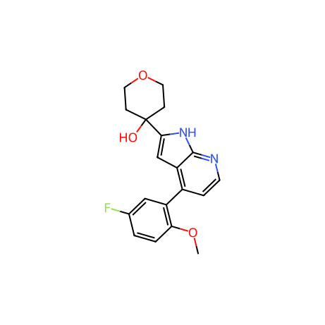 COc1ccc(F)cc1-c1ccnc2[nH]c(C3(O)CCOCC3)cc12